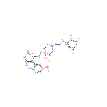 COc1ccc2ncc(CN)c([C@H](F)CCC3(CO)CCN(CCOc4cc(F)cc(F)c4F)CC3)c2c1